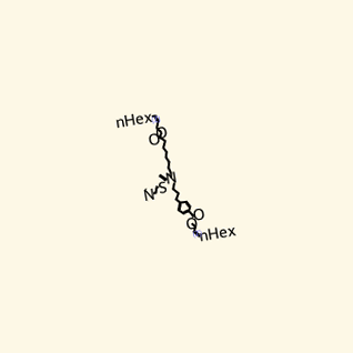 C=C(SCCN(C)C)N(CCCCCCCC(=O)OC/C=C\CCCCCC)CCCCc1ccc(C(=O)OC/C=C\CCCCCC)cc1